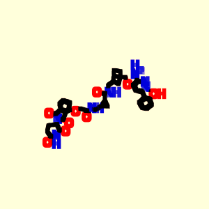 Nc1nnc(-c2ccccc2O)cc1OCC12CCC1C(CNC(=O)C1CC1CNC(=O)COc1cccc3c1C(=O)N(C1CCC(=O)NC1=O)C3=O)C2